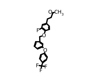 CC(=O)CCc1ccc(OCc2cccc(Oc3ccc(C(F)(F)F)cc3)c2)c(F)c1